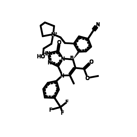 COC(=O)C1=C(C)N(c2cccc(C(F)(F)F)c2)c2n[nH]c(=O)n2[C@@H]1c1ccc(C#N)cc1CC[N+]1(CCO)CCCC1